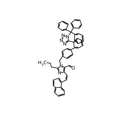 CCCc1nc(/C=C\c2cccc3ccccc23)c(C=O)n1Cc1ccc(-c2ccccc2-c2nnnn2C(c2ccccc2)(c2ccccc2)c2ccccc2)cc1